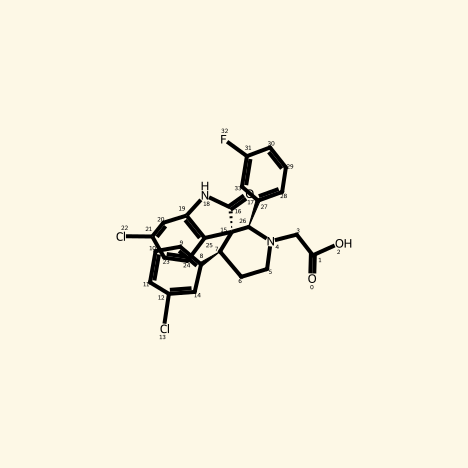 O=C(O)CN1CC[C@@H](c2cccc(Cl)c2)[C@]2(C(=O)Nc3cc(Cl)ccc32)[C@H]1c1cccc(F)c1